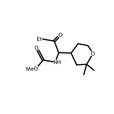 CCC(=O)C(NC(=O)OC)C1CCOC(C)(C)C1